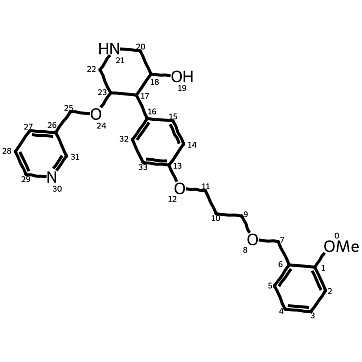 COc1ccccc1COCCCOc1ccc(C2C(O)CNCC2OCc2cccnc2)cc1